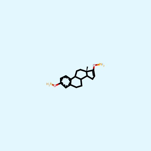 C[C@]12CCC3c4ccc(OP)cc4CCC3C1CC=C2OP